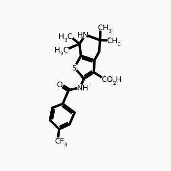 CC1(C)Cc2c(sc(NC(=O)c3ccc(C(F)(F)F)cc3)c2C(=O)O)C(C)(C)N1